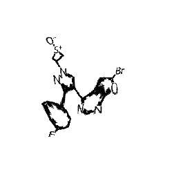 [O-][S+]1CC(n2cc(-c3ncnc4oc(Br)cc34)c(-c3ccc(F)cc3)n2)C1